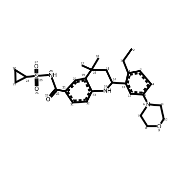 CCc1ccc(N2CCOCC2)cc1C1CC(C)(C)c2cc(C(=O)NS(=O)(=O)C3CC3)ccc2N1